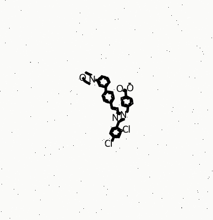 COC(=O)c1ccc(Cn2cc(-c3ccc(Cl)cc3Cl)nc2/C=C/c2ccc(-c3cccc(N4CCOCC4)c3)cc2)cc1